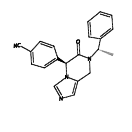 C[C@@H](c1ccccc1)N1Cc2cncn2[C@@H](c2ccc(C#N)cc2)C1=O